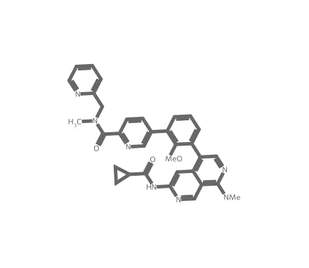 CNc1ncc(-c2cccc(-c3ccc(C(=O)N(C)Cc4ccccn4)nc3)c2OC)c2cc(NC(=O)C3CC3)ncc12